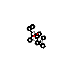 c1ccc(-c2nc(-c3ccccc3-n3c4ccccc4c4c3ccc3c5ccccc5n(-c5ccccc5)c34)nc(-c3cccc4ccccc34)n2)cc1